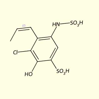 C/C=C\c1c(NS(=O)(=O)O)cc(S(=O)(=O)O)c(O)c1Cl